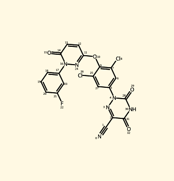 N#Cc1nn(-c2cc(Cl)c(Oc3ccc(=O)n(-c4cccc(F)c4)n3)c(Cl)c2)c(=O)[nH]c1=O